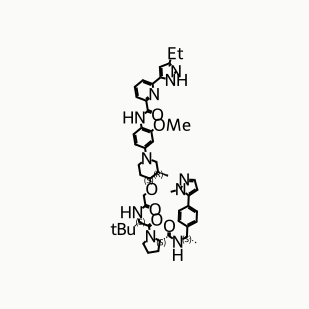 CCc1cc(-c2cccc(C(=O)Nc3ccc(N4CC[C@H](OCC(=O)N[C@H](C(=O)N5CCC[C@H]5C(=O)N[C@@H](C)c5ccc(-c6ccnn6C)cc5)C(C)(C)C)[C@H](C)C4)cc3OC)n2)[nH]n1